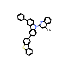 N#Cc1cc(-n2c3ccc(-c4ccccc4)cc3c3cc(-c4ccc5sc6ccccc6c5c4)ccc32)nc2ccccc12